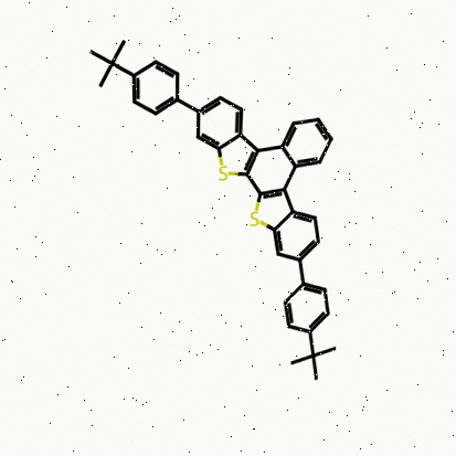 CC(C)(C)c1ccc(-c2ccc3c(c2)sc2c4sc5cc(-c6ccc(C(C)(C)C)cc6)ccc5c4c4ccccc4c32)cc1